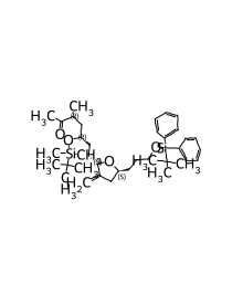 C=C1C[C@H](CCCO[Si](c2ccccc2)(c2ccccc2)C(C)(C)C)O[C@H]1CC[C@H](C[C@@H](C)C(C)=O)O[Si](C)(C)C(C)(C)C